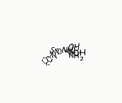 CC1(C)CCCc2cc(-c3csc(N4CCC(NC[C@H](O)[C@@H](N)CO)CC4)n3)ccc21